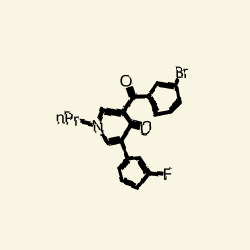 CCCn1cc(C(=O)c2cccc(Br)c2)c(=O)c(-c2cccc(F)c2)c1